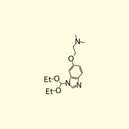 CCOC(OCC)n1cnc2ccc(OCCN(C)C)cc21